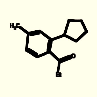 CCC(=O)c1ccc(C)cc1C1CCCC1